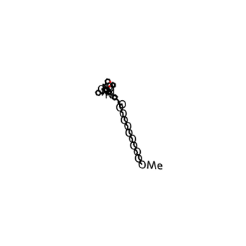 COCCOCCOCCOCCOCCOCCOCCOCCOCCOC(=O)/C=C/c1ccc(-c2nc3c(c(=O)n(CC4CCCCC4)c(=O)n3CC3CCCCC3)n2Cc2ccccc2)cc1